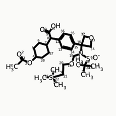 CC(=O)OC1CCC(C(C(=O)O)c2ccc(C3(N(COCC[Si](C)(C)C)[S+]([O-])C(C)(C)C)COC3)cc2)CC1